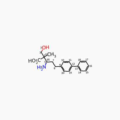 CC(CO)(C(=O)O)[C@H](N)CCc1ccc(-c2ccccc2)cc1